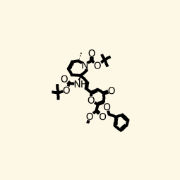 COC(=O)c1oc(/C=C/[C@]2(NC(=O)OC(C)(C)C)CC=C[C@H](C)N(C(=O)OC(C)(C)C)C2)cc(=O)c1OCc1ccccc1